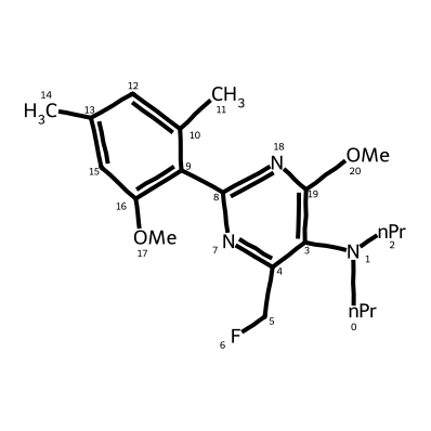 CCCN(CCC)c1c(CF)nc(-c2c(C)cc(C)cc2OC)nc1OC